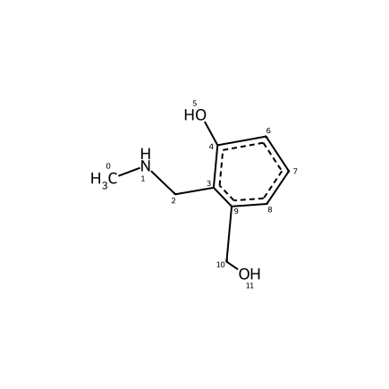 CNCc1c(O)cccc1CO